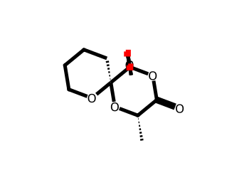 C[C@@H]1O[C@]2(CCCCO2)[C@@]2(CCCCO2)OC1=O